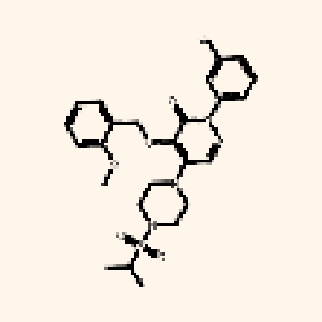 COc1ccccc1COc1c(N2CCN(S(=O)(=O)C(C)C)CC2)cnn(-c2cccc(Cl)c2)c1=O